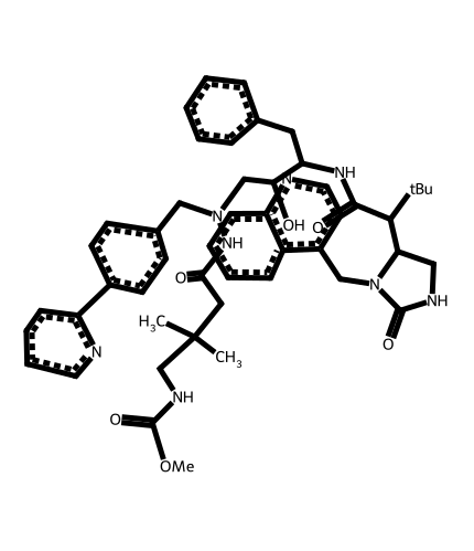 COC(=O)NCC(C)(C)CC(=O)NN(Cc1ccc(-c2ccccn2)cc1)CC(O)C(Cc1ccccc1)NC(=O)C(C1CNC(=O)N1Cc1ccnc2ccccc12)C(C)(C)C